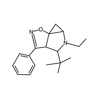 CCN1C(C(C)(C)C)C2C(c3ccccc3)=NOC23CC13